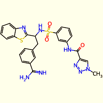 Cn1cc(C(=O)Nc2cccc(S(=O)(=O)NC(Cc3cccc(C(=N)N)c3)c3nc4ccccc4s3)c2)nn1